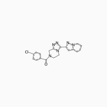 O=C(c1ccc(Cl)cc1)N1CCn2c(nnc2-c2cc3ccccn3n2)C1